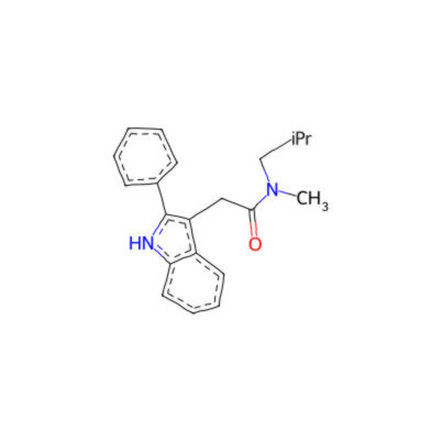 CC(C)CN(C)C(=O)Cc1c(-c2ccccc2)[nH]c2ccccc12